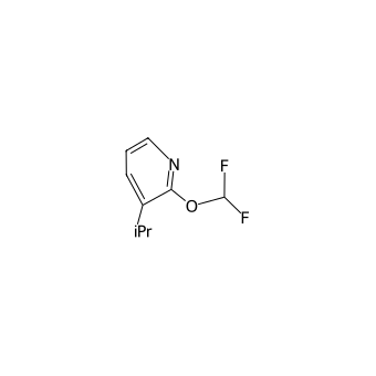 CC(C)c1cccnc1OC(F)F